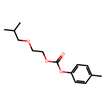 Cc1ccc(OC(=O)OCCOCC(C)C)cc1